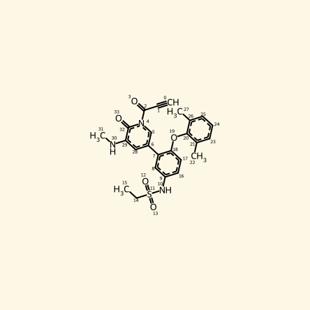 C#CC(=O)n1cc(-c2cc(NS(=O)(=O)CC)ccc2Oc2c(C)cccc2C)cc(NC)c1=O